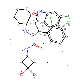 CC1(O)CC(NC(=O)[C@@H]2NC3(CCCCC3)[C@@]3(C(=O)Nc4cc(Cl)ccc43)[C@H]2c2cccc(Cl)c2F)C1